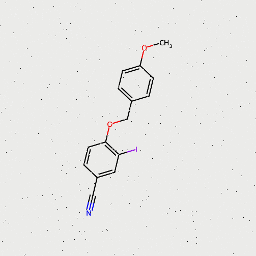 COc1ccc(COc2ccc(C#N)cc2I)cc1